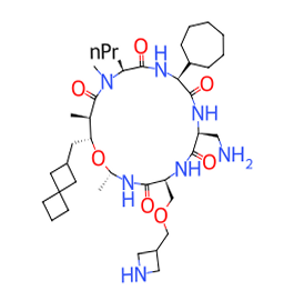 CCC[C@H]1C(=O)N[C@@H](C2CCCCCC2)C(=O)N[C@@H](CN)C(=O)N[C@@H](COCC2CNC2)C(=O)N[C@H](C)O[C@H](CC2CC3(CCC3)C2)[C@@H](C)C(=O)N1C